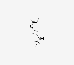 CC[C@@H](C)OC1CC(NC(C)(C)C)C1